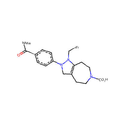 CNC(=O)c1ccc(N2CC3=C(CCN(C(=O)O)CC3)N2CC(C)C)cc1